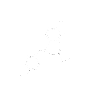 CC(=O)Oc1ccc(CC(NC(=O)CN)c2ccc(O)cc2)cc1